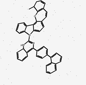 CC1CC=CC2=C1Oc1c(ccc3c1c1ccccc1n3C1=NC(c3ccc(-c4cccc5ccccc45)cc3)=C3C=CC=CC3N1)C=C2